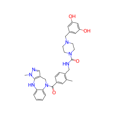 Cc1cc(C(=O)N2Cc3cnn(C)c3Nc3ccccc32)ccc1CNC(=O)N1CCN(Cc2cc(O)cc(O)c2)CC1